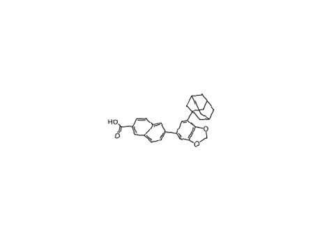 O=C(O)c1ccc2cc(-c3cc4c(c(C56CC7CC(CC(C7)C5)C6)c3)OCO4)ccc2c1